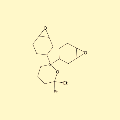 CCC1(CC)CCC[Si](C2CCC3OC3C2)(C2CCC3OC3C2)O1